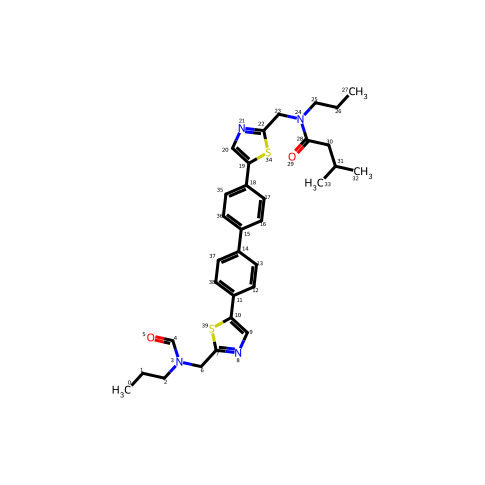 CCCN(C=O)Cc1ncc(-c2ccc(-c3ccc(-c4cnc(CN(CCC)C(=O)CC(C)C)s4)cc3)cc2)s1